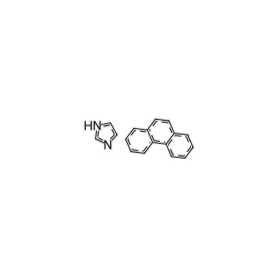 c1c[nH]cn1.c1ccc2c(c1)ccc1ccccc12